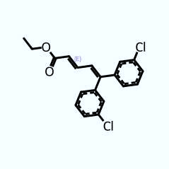 CCOC(=O)/C=C/C=C(c1cccc(Cl)c1)c1cccc(Cl)c1